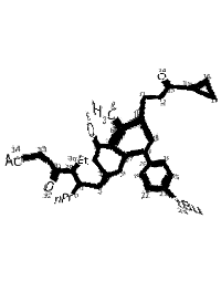 CCCC(CC1CC(=O)c2c(C)c(CCC(=O)C3CC3)cc(-c3ccc(C(C)(C)C)cc3)c2C1)C(CC)C(=O)CC(C)=O